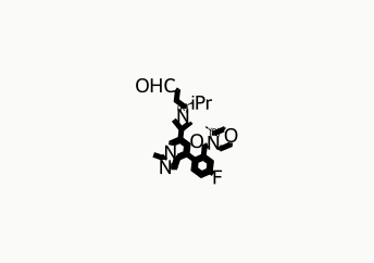 Cc1ncc2c(-c3ccc(F)cc3C(=O)N3CCOC[C@H]3C)cc(C3CN([C@H](CCC=O)C(C)C)C3)cn12